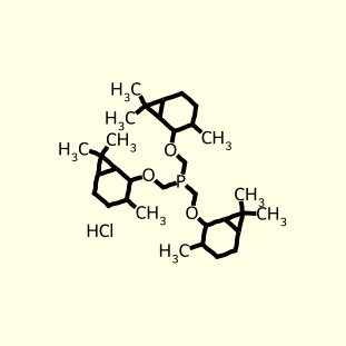 CC1CCC2C(C1OCP(COC1C(C)CCC3C1C3(C)C)COC1C(C)CCC3C1C3(C)C)C2(C)C.Cl